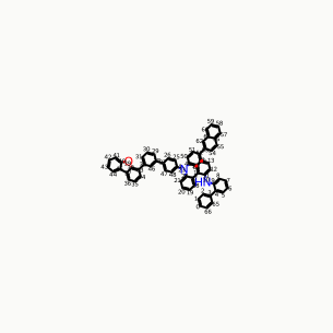 c1ccc(-c2ccccc2Nc2ccccc2-c2ccccc2N(c2ccc(-c3cccc(-c4cccc5c4oc4ccccc45)c3)cc2)c2ccc(-c3ccc4ccccc4c3)cc2)cc1